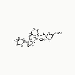 COc1cccc(C[C@H](O)[C@H]2CCCC3=Cc4c(cnn4-c4ccc(F)cc4)C[C@@]32C)c1